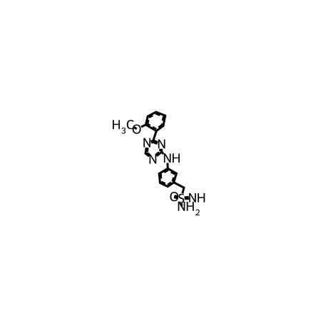 COc1ccccc1-c1ncnc(Nc2cccc(CS(=N)(N)=O)c2)n1